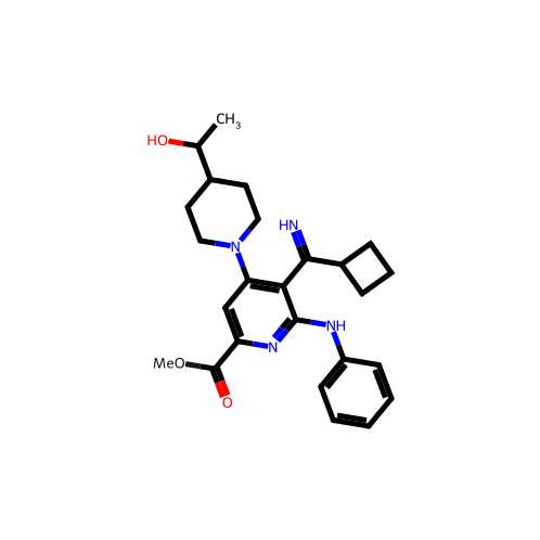 COC(=O)c1cc(N2CCC(C(C)O)CC2)c(C(=N)C2CCC2)c(Nc2ccccc2)n1